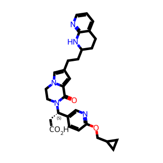 O=C(O)C[C@@H](c1ccc(OCC2CC2)nc1)N1CCn2cc(CCC3CCc4cccnc4N3)cc2C1=O